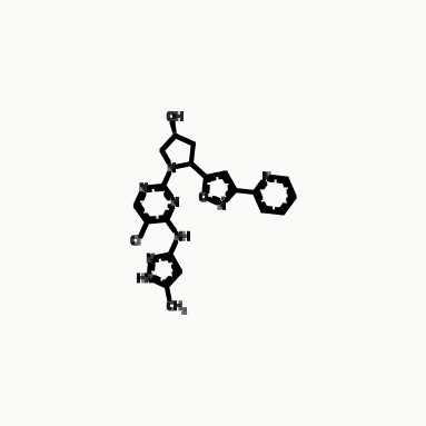 Cc1cc(Nc2nc(N3C[C@@H](O)CC3c3cc(-c4ccccn4)no3)ncc2Cl)n[nH]1